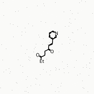 CCC(=O)CCC(=O)/C=C/c1cccnc1